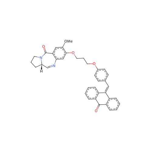 COc1cc2c(cc1OCCCOc1ccc(C=C3c4ccccc4C(=O)c4ccccc43)cc1)N=C[C@@H]1CCCN1C2=O